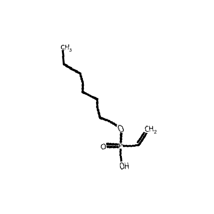 C=CP(=O)(O)OCCCCCC